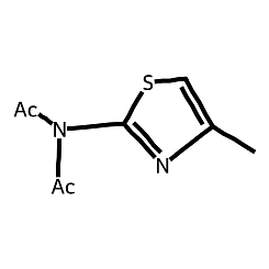 CC(=O)N(C(C)=O)c1nc(C)cs1